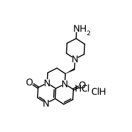 Cl.Cl.NC1CCN(C[C@@H]2CCn3c(=O)cnc4ccc(=O)n2c43)CC1